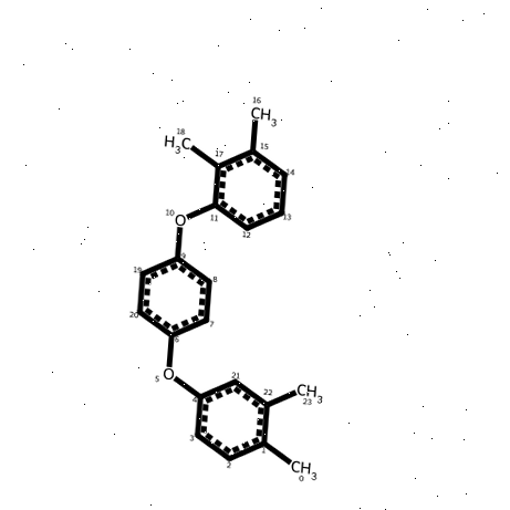 Cc1ccc(Oc2ccc(Oc3cccc(C)c3C)cc2)cc1C